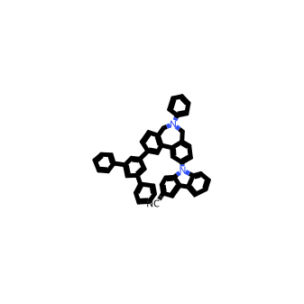 N#Cc1ccc2c(c1)c1ccccc1n2-c1ccc2c(c1)-c1cc(-c3cc(-c4ccccc4)cc(-c4ccccc4)c3)ccc1CN(c1ccccc1)C2